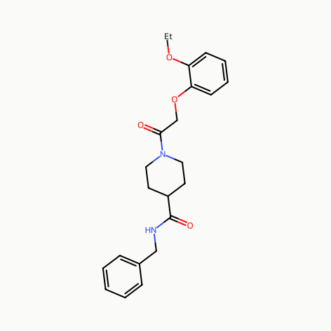 CCOc1ccccc1OCC(=O)N1CCC(C(=O)NCc2ccccc2)CC1